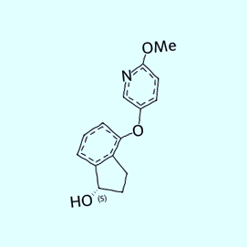 COc1ccc(Oc2cccc3c2CC[C@@H]3O)cn1